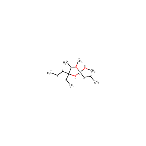 CCCC(CC)(CC)O[Si](CCC)(OC)OC